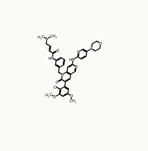 COc1cc(OC)c(Cl)c(-c2cc3cnc(Nc4ccc(N5CCOCC5)cn4)cc3n(Cc3cccc(NC(=O)/C=C/CN(C)C)c3)c2=O)c1